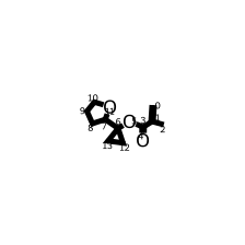 C=C(C)C(=O)OC1(C2CCCO2)CC1